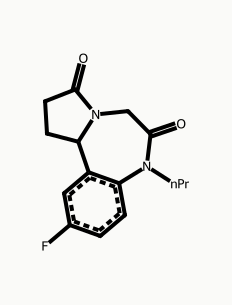 CCCN1C(=O)CN2C(=O)CCC2c2cc(F)ccc21